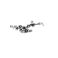 CCCCCCOC(=O)NN=Cc1ccc(NCc2nc3cc(C(=O)N(CCC(=O)OCC)c4ccccn4)ccc3n2C)cc1.O=C(O)/C=C\C(=O)O